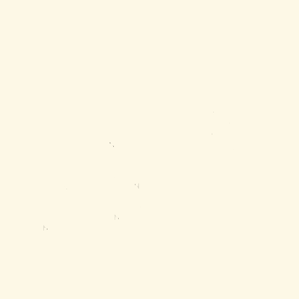 c1ccc(C2=NCc3c(-c4cnco4)ncn3-c3ccc([C@]45C[C@H]4C5)cc32)cc1